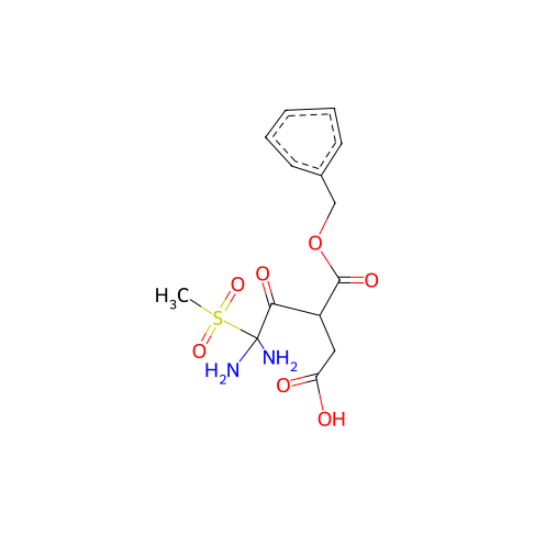 CS(=O)(=O)C(N)(N)C(=O)C(CC(=O)O)C(=O)OCc1ccccc1